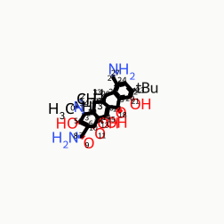 CN(C)C1C(O)=C(C(N)=O)C(=O)[C@@]2(O)C(O)=C3C(=O)c4c(O)c(C(C)(C)C)cc(CN)c4C[C@H]3C[C@@H]12